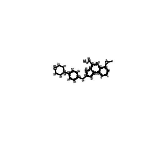 COc1cccc2c1nc(N)n1nc(Cc3ccc(N4CCOCC4)cc3)cc21